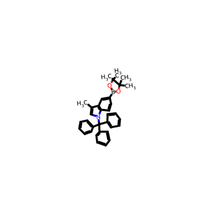 Cc1cn(C(c2ccccc2)(c2ccccc2)c2ccccc2)c2ccc(B3OC(C)(C)C(C)(C)O3)cc12